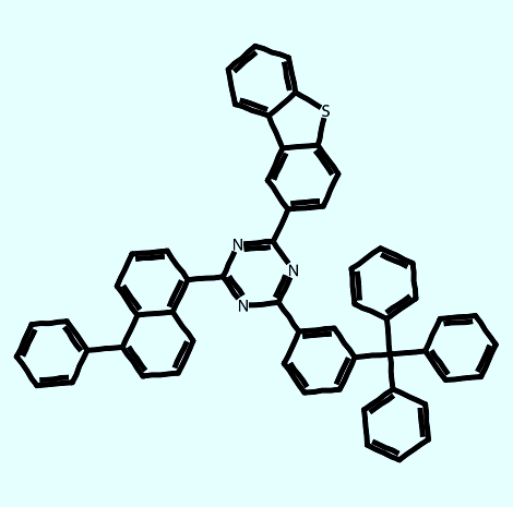 c1ccc(-c2cccc3c(-c4nc(-c5cccc(C(c6ccccc6)(c6ccccc6)c6ccccc6)c5)nc(-c5ccc6sc7ccccc7c6c5)n4)cccc23)cc1